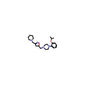 CC(C)Oc1ccccc1N1CCN(CC2CC(CN3CCCCC3)=NO2)CC1